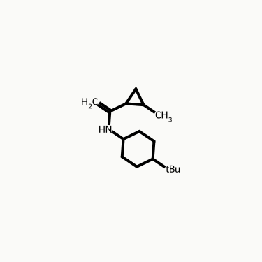 C=C(NC1CCC(C(C)(C)C)CC1)C1CC1C